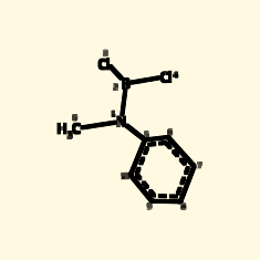 CN(B(Cl)Cl)c1ccccc1